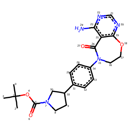 CC(C)(C)OC(=O)N1CCC(c2ccc(N3CCOc4ncnc(N)c4C3=O)cc2)C1